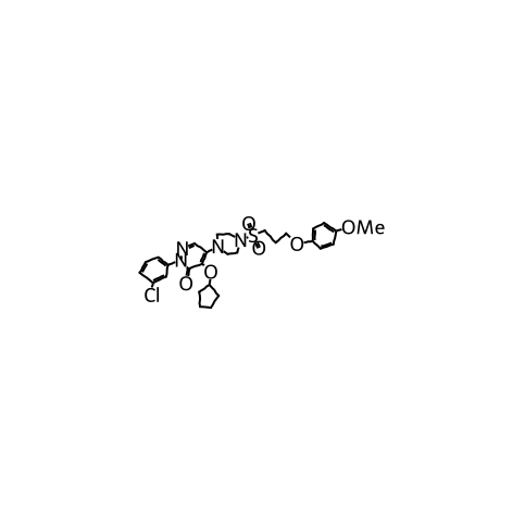 COc1ccc(OCCCS(=O)(=O)N2CCN(c3cnn(-c4cccc(Cl)c4)c(=O)c3OC3CCCC3)CC2)cc1